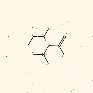 CCC(C)[C@H](C(C)=O)N(C)C